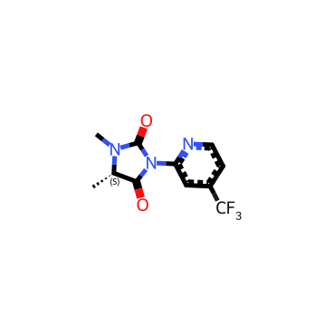 C[C@H]1C(=O)N(c2cc(C(F)(F)F)ccn2)C(=O)N1C